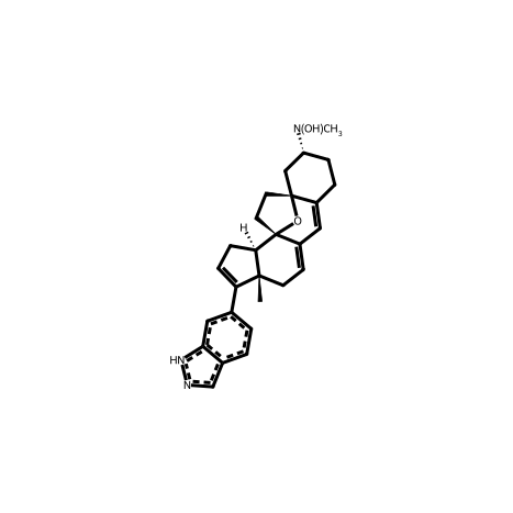 CN(O)[C@@H]1CCC2=CC3=CC[C@]4(C)C(c5ccc6cn[nH]c6c5)=CC[C@H]4[C@@]34CC[C@]2(C1)O4